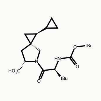 CC(C)(C)OC(=O)N[C@H](C(=O)N1C[C@]2(C[C@H]1C(=O)O)C[C@H]2C1CC1)C(C)(C)C